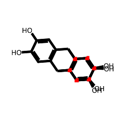 Oc1cc2c(cc1O)C1c3cc(O)c(O)cc3C2c2cc(O)c(O)cc21